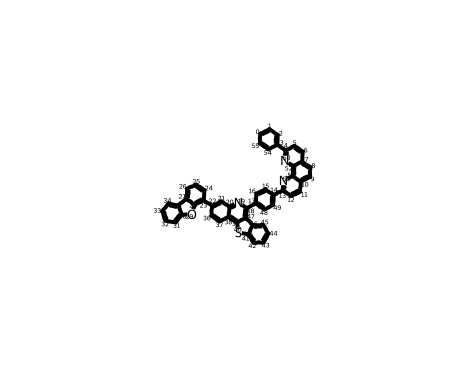 c1ccc(-c2ccc3ccc4ccc(-c5ccc(-c6nc7cc(-c8cccc9c8oc8ccccc89)ccc7c7sc8ccccc8c67)cc5)nc4c3n2)cc1